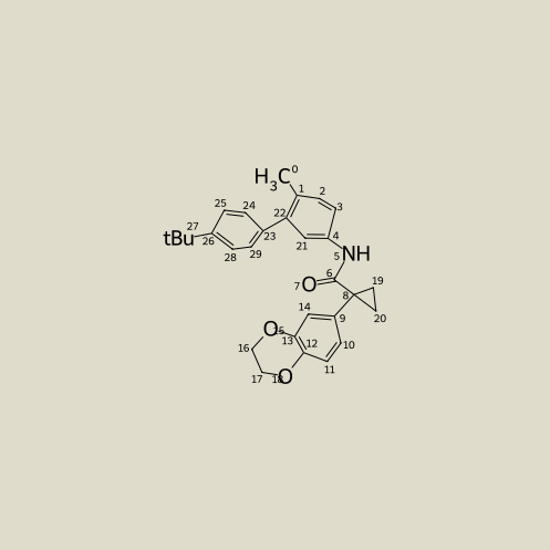 Cc1ccc(NC(=O)C2(c3ccc4c(c3)OCCO4)CC2)cc1-c1ccc(C(C)(C)C)cc1